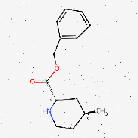 C[C@H]1CCN[C@H](C(=O)OCc2ccccc2)C1